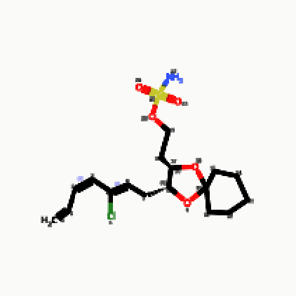 C=C/C=C\C(Cl)=C\C[C@H]1OC2(CCCCC2)O[C@@H]1CCOS(N)(=O)=O